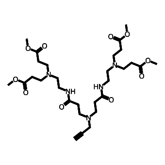 C#CCN(CCC(=O)NCCN(CCC(=O)OC)CCC(=O)OC)CCC(=O)NCCN(CCC(=O)OC)CCC(=O)OC